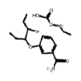 CCC(Br)C(CC)Oc1cccc(C(N)=O)c1.CCNOC(=O)O